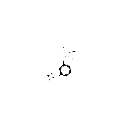 CCCSP(=O)(OCC)Oc1cccc(OS(=O)(=O)C(C)C)c1